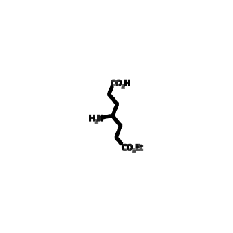 CCOC(=O)CCC(N)CCC(=O)O